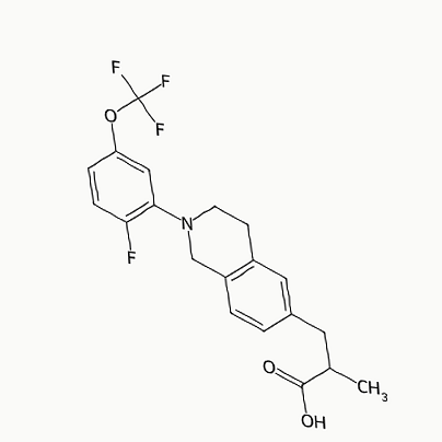 CC(Cc1ccc2c(c1)CCN(c1cc(OC(F)(F)F)ccc1F)C2)C(=O)O